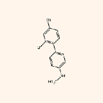 N#Cc1ccc(-c2ccc(NC(=O)O)cc2)c(Cl)c1